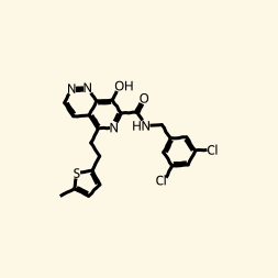 Cc1ccc(CCc2nc(C(=O)NCc3cc(Cl)cc(Cl)c3)c(O)c3nnccc23)s1